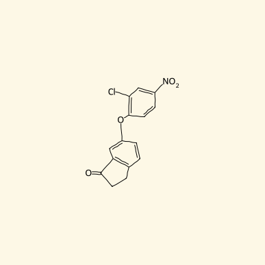 O=C1CCc2ccc(Oc3ccc([N+](=O)[O-])cc3Cl)cc21